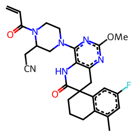 C=CC(=O)N1CCN(c2nc(OC)nc3c2NC(=O)C2(CCCc4c(C)cc(F)cc42)C3)CC1CC#N